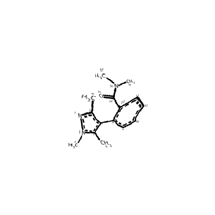 Cc1nn(C)c(C)c1-c1ccccc1C(=O)N(C)C